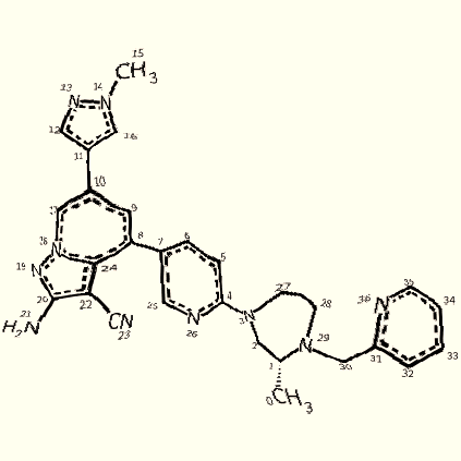 C[C@@H]1CN(c2ccc(-c3cc(-c4cnn(C)c4)cn4nc(N)c(C#N)c34)cn2)CCN1Cc1ccccn1